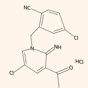 Cl.N#Cc1ccc(Cl)cc1Cn1cc(Cl)cc(C(N)=O)c1=N